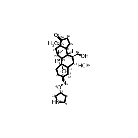 C[C@]12CCC(=NO[C@@H]3CCNC3)CC1C[C@H](CO)[C@@H]1[C@@H]2CC[C@]2(C)C(=O)CC[C@@H]12.Cl